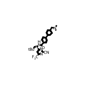 CN(C)Cc1ccc(-c2ccc(C(=O)NN(CC(C)(C)C)c3cc(C(F)(F)F)nc(C#N)n3)cc2)cc1